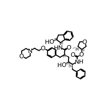 C[C@@H]1COC[C@H]1OC(=O)N[C@@H](Cc1ccccc1)[C@@H](O)C[C@@H](Cc1ccc(OCCN2CCOCC2)cc1)C(=O)N[C@H]1c2ccccc2C[C@H]1O